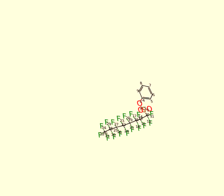 O=S(=O)(Oc1ccccc1)C(F)(F)C(F)(F)C(F)(F)C(F)(F)C(F)(F)C(F)(F)C(F)(F)C(F)(F)F